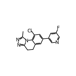 Cc1nnc2n1-c1c(Cl)cc(-c3cncc(F)c3)cc1CC2